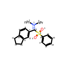 CCCNCCC.O=S(=O)(Cc1ccc2c(c1)CCC2)c1ccccc1